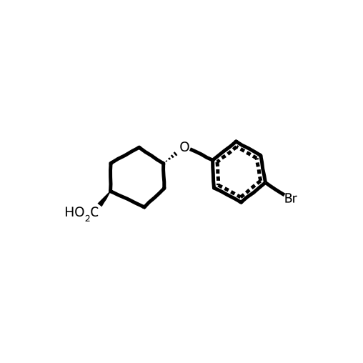 O=C(O)[C@H]1CC[C@H](Oc2ccc(Br)cc2)CC1